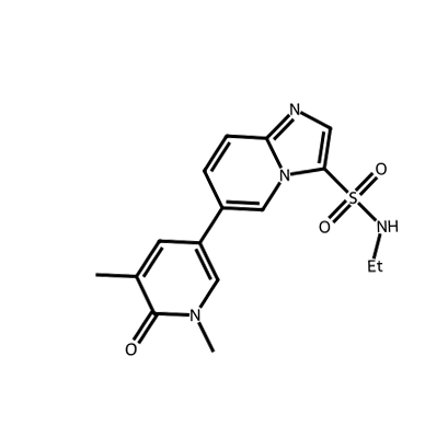 CCNS(=O)(=O)c1cnc2ccc(-c3cc(C)c(=O)n(C)c3)cn12